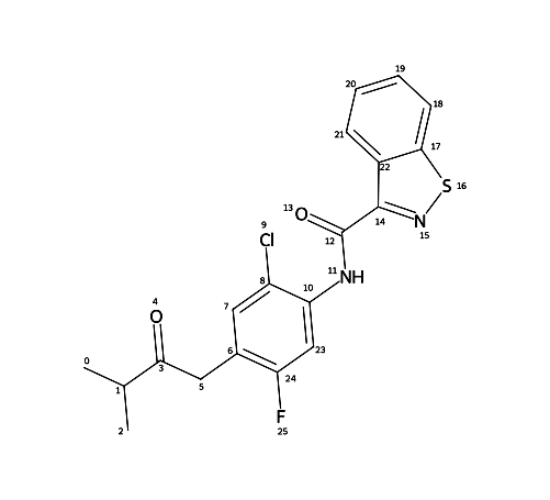 CC(C)C(=O)Cc1cc(Cl)c(NC(=O)c2nsc3ccccc23)cc1F